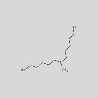 CC(C)OCCCCN(C)CCCCOC(C)C